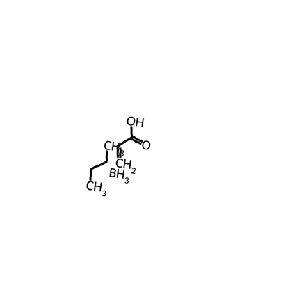 B.C=CC(=O)O.CCCC